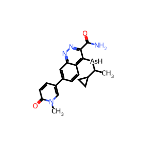 CC([AsH]c1c(C(N)=O)nnc2cc(-c3ccc(=O)n(C)c3)ccc12)C1CC1